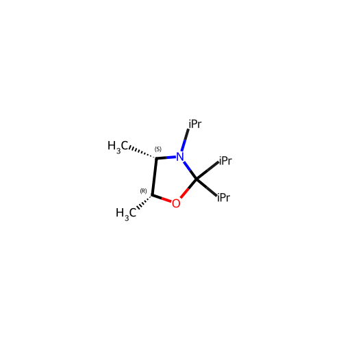 CC(C)N1[C@@H](C)[C@@H](C)OC1(C(C)C)C(C)C